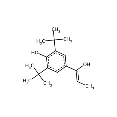 CC=C(O)c1cc(C(C)(C)C)c(O)c(C(C)(C)C)c1